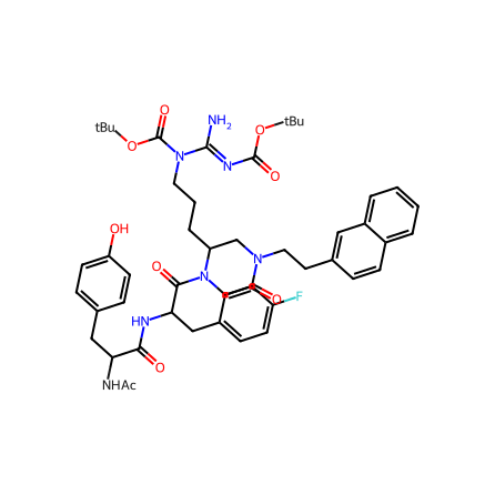 CC(=O)NC(Cc1ccc(O)cc1)C(=O)NC(Cc1ccc(F)cc1)C(=O)N1CC(=O)N(CCc2ccc3ccccc3c2)CC1CCCN(C(=O)OC(C)(C)C)C(N)=NC(=O)OC(C)(C)C